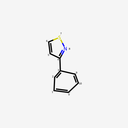 [c]1ccc(-c2ccsn2)cc1